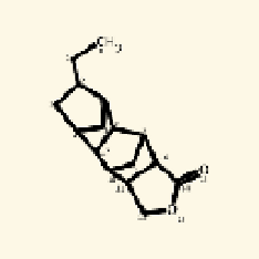 CCC1CC2CC1C1C3CC(C4COC(=O)C43)C21